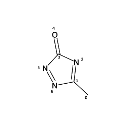 CC1=NC(=O)N=N1